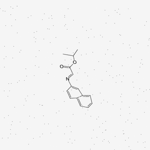 CC(C)OC(=O)C=Nc1ccc2ccccc2c1